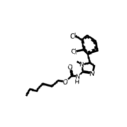 CCCCCCOC(=O)NC1=NCC(c2cccc(Cl)c2Cl)N1C